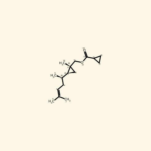 CC(C)=CC[C@@H](C)[C@@H]1C[C@@]1(C)COC(=O)C1CC1